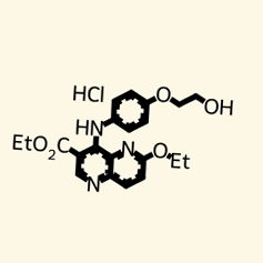 CCOC(=O)c1cnc2ccc(OCC)nc2c1Nc1ccc(OCCO)cc1.Cl